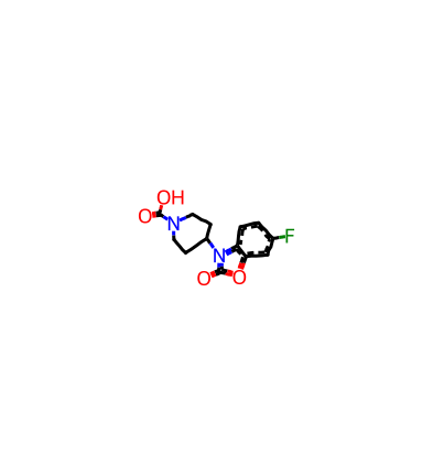 O=C(O)N1CCC(n2c(=O)oc3cc(F)ccc32)CC1